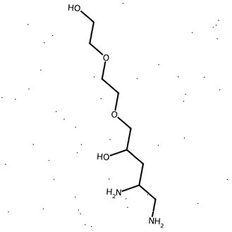 NCC(N)CC(O)COCCOCCO